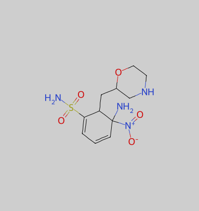 NC1([N+](=O)[O-])C=CC=C(S(N)(=O)=O)C1CC1CNCCO1